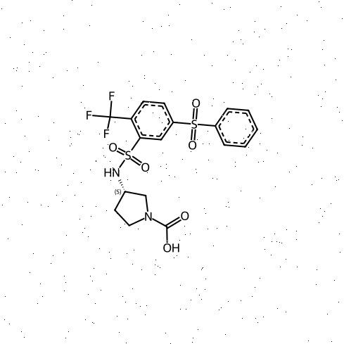 O=C(O)N1CC[C@H](NS(=O)(=O)c2cc(S(=O)(=O)c3ccccc3)ccc2C(F)(F)F)C1